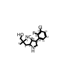 CC(C)(CO)CC1NCC(c2cccc(Cl)c2F)C1C#N